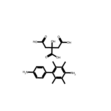 Cc1c(C)c(-c2ccc(N)cc2)c(C)c(C)c1N.O=C(O)CC(O)(CC(=O)O)C(=O)O